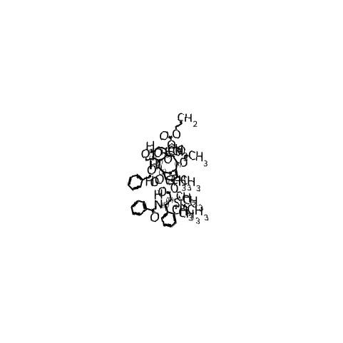 C=CCOC(=O)OC1C[C@H]2OC[C@@]2(OC(C)=O)[C@H]2[C@H](OC(=O)c3ccccc3)[C@]3(O)C[C@H](OC(=O)[C@@H]([C@@H](NC(=O)c4ccccc4)c4ccccc4)[Si](C)(C)C(C)(C)C)C(C)=C([C@@H](OC(C)=O)C(=O)[C@]12C)C3(C)C